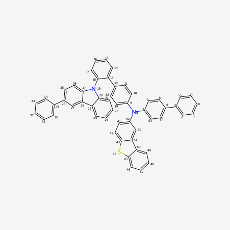 c1ccc(-c2ccc(N(c3ccc(-c4ccccc4-n4c5ccccc5c5cc(-c6ccccc6)ccc54)cc3)c3ccc4sc5ccccc5c4c3)cc2)cc1